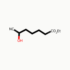 CCOC(=O)CCCCC(O)C#N